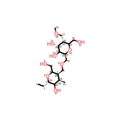 CC[C@@H]1OC(CO)[C@@H](COC[C@@H]2OC(CO)[C@@H](COC)[C@@H](O)C2O)[C@@H](C)C1O